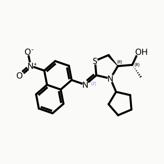 C[C@@H](O)[C@@H]1CS/C(=N\c2ccc([N+](=O)[O-])c3ccccc23)N1C1CCCC1